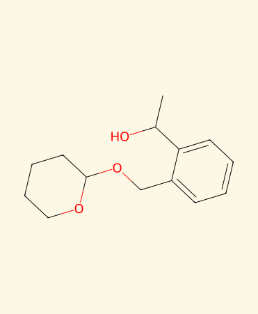 CC(O)c1ccccc1COC1CCCCO1